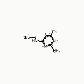 CC(C)(C)CNc1cc(Cl)nc(N)n1